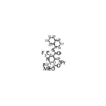 COC(=O)c1c(C(F)F)nc(C(F)(F)F)c(C(=O)Sc2cccc3ccccc23)c1CC(C)C